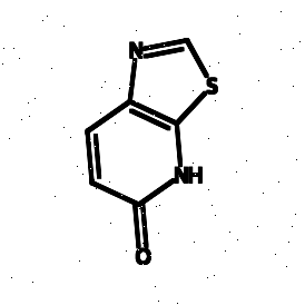 O=c1ccc2ncsc2[nH]1